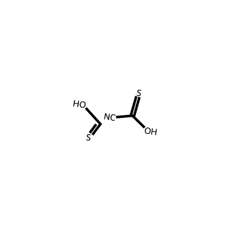 N#CC(O)=S.OC=S